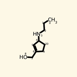 CCCNC1C=C(CO)CC1